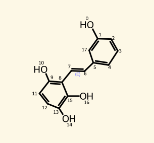 Oc1cccc(/C=C/c2c(O)ccc(O)c2O)c1